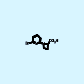 O=C(O)C1CCN1c1cccc(Br)n1